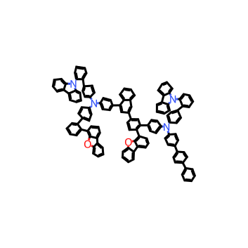 c1ccc(-c2ccc(-c3ccc(N(c4ccc(-c5cc(-c6cc(-c7ccc(N(c8ccc(-c9ccccc9-c9cccc%10c9oc9ccccc9%10)cc8)c8ccc(-c9ccccc9-n9c%10ccccc%10c%10ccccc%109)cc8)cc7)c7ccccc7c6)ccc5-c5cccc6c5oc5ccccc56)cc4)c4ccc(-c5ccccc5-n5c6ccccc6c6ccccc65)cc4)cc3)cc2)cc1